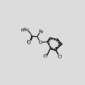 CC(C)(C)C(=O)C(Br)Oc1cccc(Cl)c1Cl